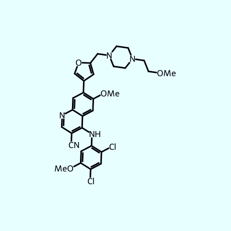 COCCN1CCN(Cc2cc(-c3cc4ncc(C#N)c(Nc5cc(OC)c(Cl)cc5Cl)c4cc3OC)co2)CC1